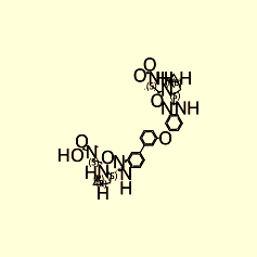 COC(=O)N[C@@H](C)C(=O)N1[C@@H]2C[C@H]2C[C@H]1c1nc2cc(Oc3cccc(-c4ccc5[nH]c([C@@H]6C[C@H]7C[C@H]7N6C(=O)[C@H](C)N(C)C(=O)O)nc5c4)c3)ccc2[nH]1